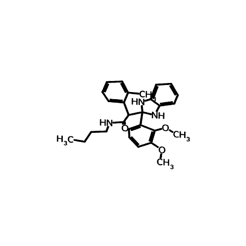 CCCCNC(=O)C(c1ccccc1C)C1(c2cccc(OC)c2OC)Nc2ccccc2N1